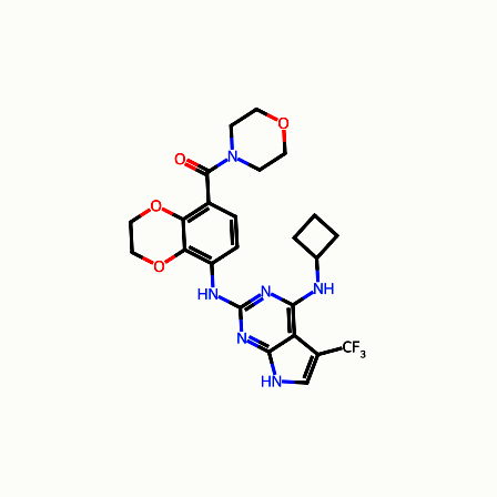 O=C(c1ccc(Nc2nc(NC3CCC3)c3c(C(F)(F)F)c[nH]c3n2)c2c1OCCO2)N1CCOCC1